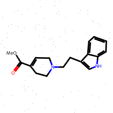 COC(=O)C1=CCN(CCc2c[nH]c3ccccc23)CC1